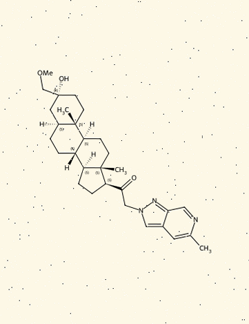 COC[C@@]1(O)CC[C@@]2(C)[C@@H](CC[C@@H]3[C@@H]2CC[C@]2(C)[C@@H](C(=O)Cn4cc5cc(C)ncc5n4)CC[C@@H]32)C1